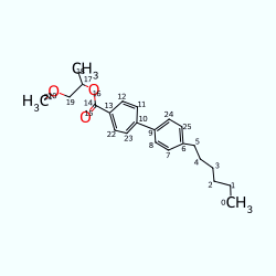 CCCCCCc1ccc(-c2ccc(C(=O)OC(C)COC)cc2)cc1